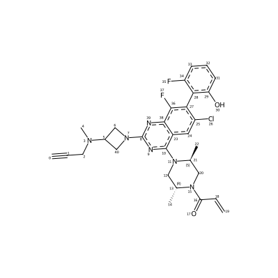 C#CCN(C)C1CN(c2nc(N3C[C@@H](C)N(C(=O)C=C)C[C@@H]3C)c3cc(Cl)c(-c4c(O)cccc4F)c(F)c3n2)C1